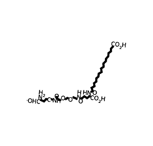 N[C@H]([C]=O)CCCCNC(=O)COCCOCCNC(=O)CCC(NC(=O)CCCCCCCCCCCCCCCCCCC(=O)O)C(=O)O